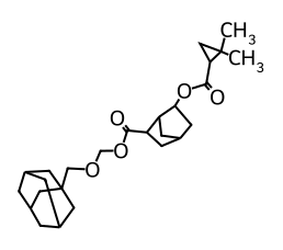 CC1(C)CC1C(=O)OC1CC2CC(C(=O)OCOCC34CC5CC(CC(C5)C3)C4)C1C2